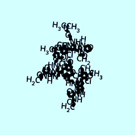 C=CC(=O)N[C@H]1CCOC[C@H]1Nc1ncc2cc(-c3c(Cl)c(OC)cc(OC)c3Cl)nc(NCCN3CC(N)CC3COc3cc(OC)c(Cl)c(-c4cc5cnc(N[C@@H]6COCC[C@@H]6NC(=O)C=C)nc5c(NCCN5CC(N(C)C)CC5COc5cc(OC)c(Cl)c(-c6cc7cnc(N[C@@H]8COCC[C@@H]8NC(=O)C=C)nc7c(NCCOCCN(C)C)n6)c5Cl)n4)c3Cl)c2n1